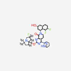 [2H]C1([2H])CC[C@@]2(C([2H])([2H])Oc3nc(N4CC5CCC4CN5)c4ccn(-c5cc(O)cc6ccc(F)c(F)c56)c(=O)c4n3)C[C@@]([2H])(F)CN12